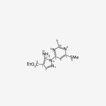 CCOC(=O)c1cnn(-c2cc(SC)nc(C)n2)c1N